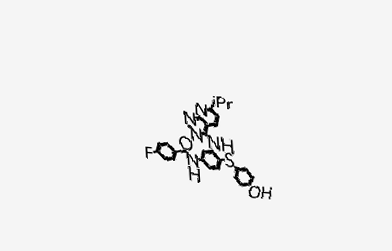 CC(C)c1ccc2c(Nc3cc(NC(=O)c4ccc(F)cc4)ccc3Sc3ccc(O)cc3)ncnc2n1